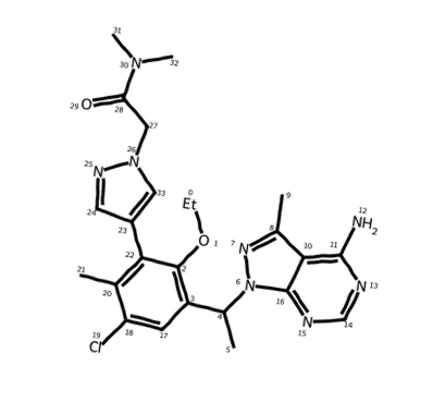 CCOc1c(C(C)n2nc(C)c3c(N)ncnc32)cc(Cl)c(C)c1-c1cnn(CC(=O)N(C)C)c1